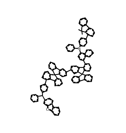 CC1(C)c2ccccc2-c2cccc(-c3ccc(N(c4ccccc4)c4ccc(-c5cccc6c5-c5ccc(-c7ccc8c(c7)-c7ccccc7C87c8ccccc8-c8c(-c9ccc(C(c%10ccccc%10)c%10ccc%11c(c%10)oc%10ccccc%10%11)cc9)cccc87)cc5C65c6ccccc6-c6ccccc65)c5ccccc45)cc3)c21